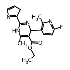 CCOC(=O)C1=C(C)NC(C2=NC=CC2)=NC1c1ccc(F)nc1C